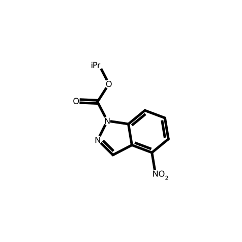 CC(C)OC(=O)n1ncc2c([N+](=O)[O-])cccc21